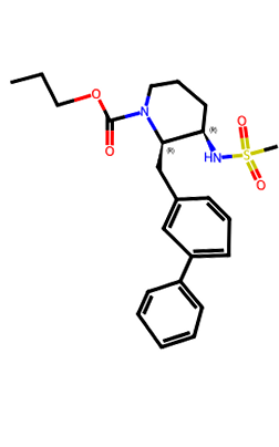 CCCOC(=O)N1CCC[C@@H](NS(C)(=O)=O)[C@H]1Cc1cccc(-c2ccccc2)c1